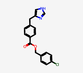 O=C(OCc1ccc(Cl)cc1)c1ccc(Cc2c[nH]cn2)cc1